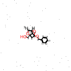 [3H][C@@H]1O[C@@]2(CO)CC3(OCc4ccccc4)O[C@H]1C32